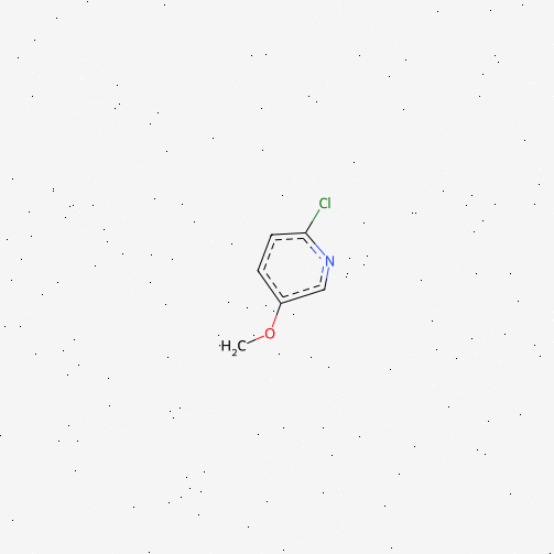 [CH2]Oc1ccc(Cl)nc1